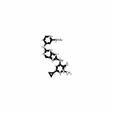 CC(=O)Nc1cc(Oc2ncc3nc(Nc4cc(C5CC5)nn(C)c4=O)sc3n2)ccn1